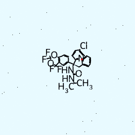 CC(C)NC(=O)N[C@](Cc1ccccc1)(c1ccc2c(c1)C(F)(F)OC(F)(F)O2)c1ccc(Cl)cn1